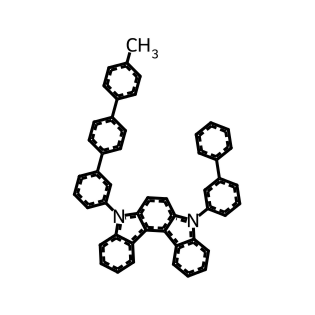 Cc1ccc(-c2ccc(-c3cccc(-n4c5ccccc5c5c6c7ccccc7n(-c7cccc(-c8ccccc8)c7)c6ccc54)c3)cc2)cc1